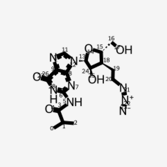 CC(C)C(=O)Nc1nc2c(ncn2[C@@H]2O[C@H](CO)[C@@H](CCN=[N+]=[N-])[C@H]2O)c(=O)[nH]1